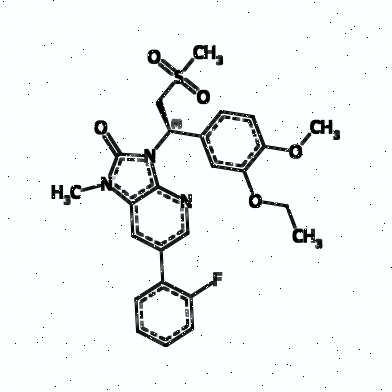 CCOc1cc([C@H](CS(C)(=O)=O)n2c(=O)n(C)c3cc(-c4ccccc4F)cnc32)ccc1OC